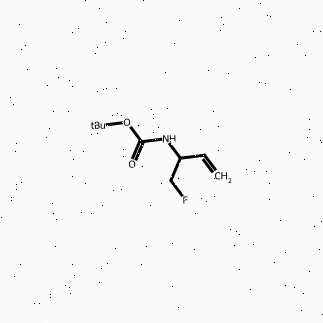 C=CC(CF)NC(=O)OC(C)(C)C